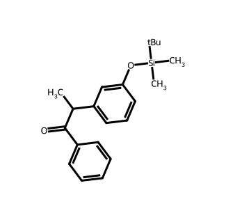 CC(C(=O)c1ccccc1)c1cccc(O[Si](C)(C)C(C)(C)C)c1